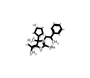 CCCCC1=[N+](CC(C)c2ccccc2)C(C)(C2CCCC2)C(=C(C)I)O1.[I-]